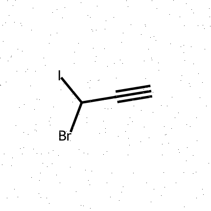 C#CC(Br)I